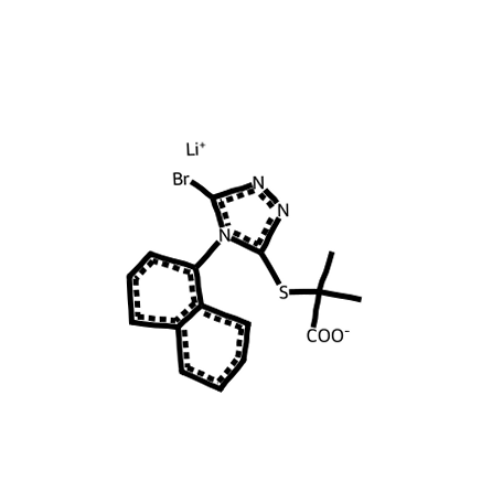 CC(C)(Sc1nnc(Br)n1-c1cccc2ccccc12)C(=O)[O-].[Li+]